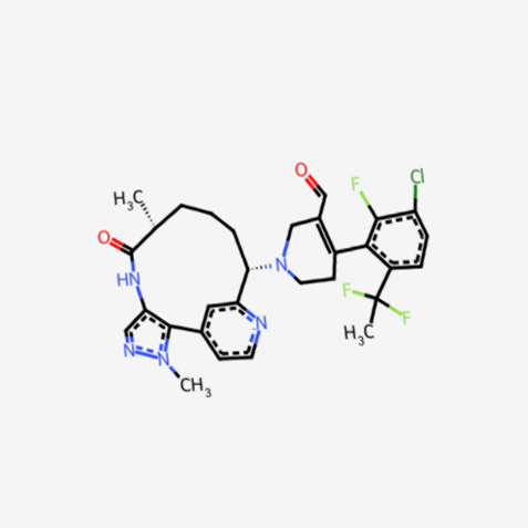 C[C@@H]1CCC[C@H](N2CCC(c3c(C(C)(F)F)ccc(Cl)c3F)=C(C=O)C2)c2cc(ccn2)-c2c(cnn2C)NC1=O